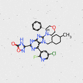 CC1CCC(Cn2c(N3CCOC[C@H]3c3ccccc3)nc3nc(-c4noc(=O)[nH]4)nc(-c4cc(Cl)cnc4F)c32)CC1